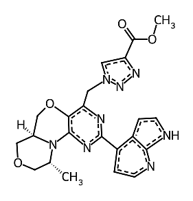 COC(=O)c1cn(Cc2nc(-c3ccnc4[nH]ccc34)nc3c2OC[C@@H]2COC[C@@H](C)N32)nn1